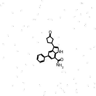 NC(=O)c1cc(-c2ccccc2)cc2c(C3CCC(=O)C3)c[nH]c12